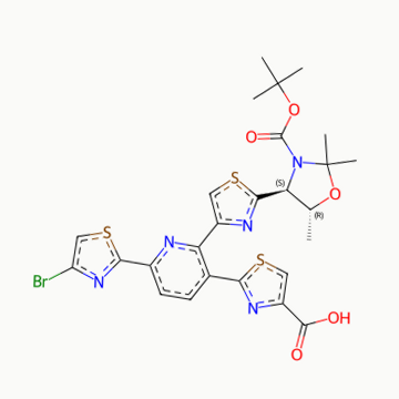 C[C@H]1OC(C)(C)N(C(=O)OC(C)(C)C)[C@@H]1c1nc(-c2nc(-c3nc(Br)cs3)ccc2-c2nc(C(=O)O)cs2)cs1